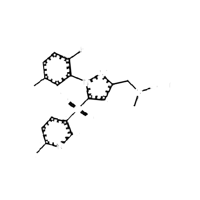 Cc1ccc(F)c(-n2nc(CN(C)C(=O)O)cc2S(=O)(=O)c2ccc(C)nc2)c1